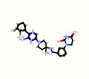 CC1(NCc2cccc(N3CCC(=O)NC3=O)c2)CCN(c2cnc(-c3cccc(Cl)c3Cl)c(N)n2)CC1